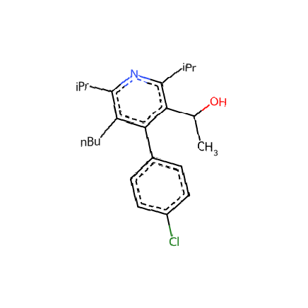 CCCCc1c(C(C)C)nc(C(C)C)c(C(C)O)c1-c1ccc(Cl)cc1